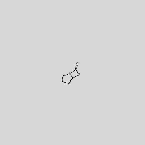 O=C1OC2CCCN12